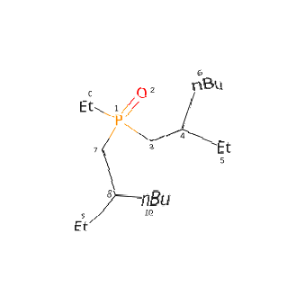 [CH2]CP(=O)(CC(CC)CCCC)CC(CC)CCCC